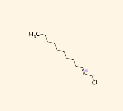 CCCCCCCCC/C=C/[CH]Cl